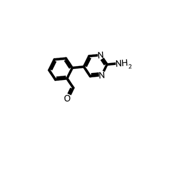 Nc1ncc(-c2ccccc2C=O)cn1